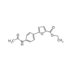 CCOC(=O)c1ccc(-c2ccc(NC(C)=O)cc2)o1